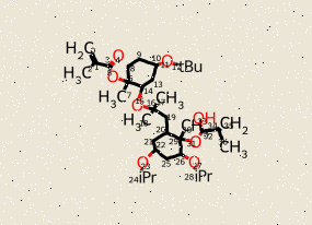 C=C(C)C(=O)OC1(C)CCC(OC(C)(C)C)CC1OC(C)(C)CC1CC(OC(C)C)CC(OC(C)C)C1(C)OC(O)C(=C)C